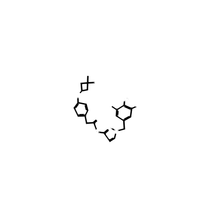 N#Cc1c(F)cc(Cn2ccc(NC(=O)Cc3ccc(OC4CC(F)(F)C4)cc3)n2)cc1F